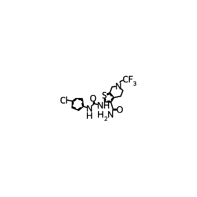 NC(=O)c1c(NC(=O)Nc2ccc(Cl)cc2)sc2c1CCN(CC(F)(F)F)C2